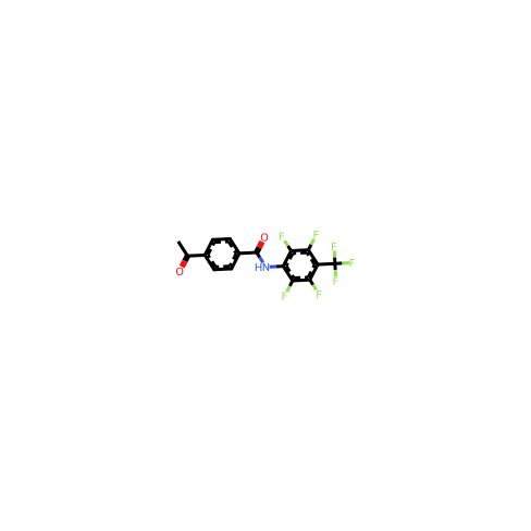 CC(=O)c1ccc(C(=O)Nc2c(F)c(F)c(C(F)(F)F)c(F)c2F)cc1